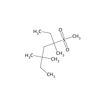 CCC(C)(C)CC(C)(CC)S(C)(=O)=O